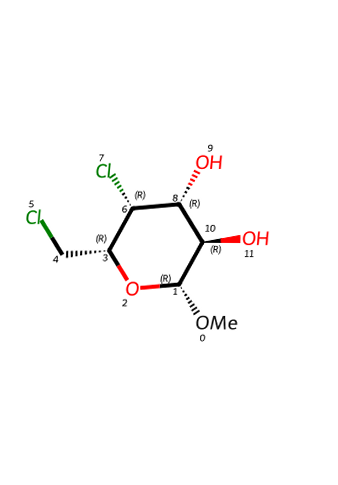 CO[C@@H]1O[C@H](CCl)[C@H](Cl)[C@H](O)[C@H]1O